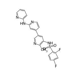 Cc1ncc(-c2ccnc(Nc3ccccn3)c2)cc1NS(=O)(=O)c1ccc(F)cc1F